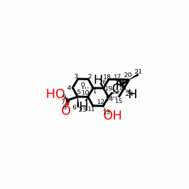 C[C@@]12CCC[C@@](C)(C(=O)O)[C@H]1C[C@@H](O)[C@@]13C[C@H]4[C@@H](C[C@@H]21)[C@@]4(C)C3